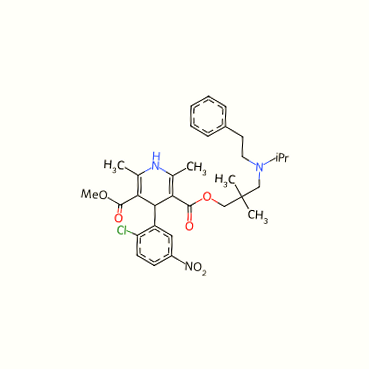 COC(=O)C1=C(C)NC(C)=C(C(=O)OCC(C)(C)CN(CCc2ccccc2)C(C)C)C1c1cc([N+](=O)[O-])ccc1Cl